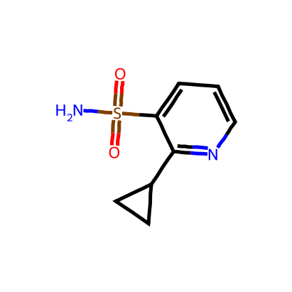 NS(=O)(=O)c1cccnc1C1CC1